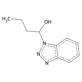 CCCC(O)n1nnc2ccccc21